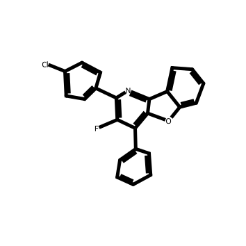 Fc1c(-c2ccc(Cl)cc2)nc2c(oc3ccccc32)c1-c1ccccc1